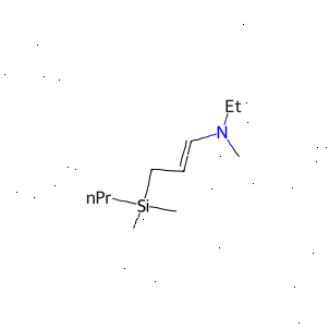 CCC[Si](C)(C)CC=CN(C)CC